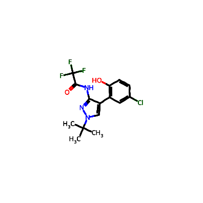 CC(C)(C)n1cc(-c2cc(Cl)ccc2O)c(NC(=O)C(F)(F)F)n1